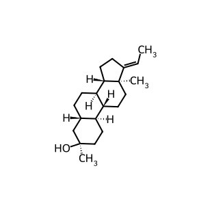 C/C=C1\CC[C@H]2[C@@H]3CC[C@H]4C[C@](C)(O)CC[C@@H]4[C@H]3CC[C@]12C